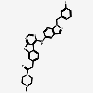 CN1CCN(C(=O)Cc2ccc3c(c2)sc2ncnc(Nc4ccc5c(cnn5Cc5cccc(F)c5)c4)c23)CC1